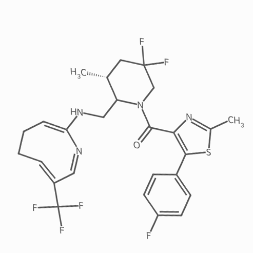 Cc1nc(C(=O)N2CC(F)(F)C[C@@H](C)C2CNC2=C/CC/C=C(C(F)(F)F)/C=N\2)c(-c2ccc(F)cc2)s1